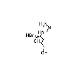 Br.C/N=C(/N/C=N\N)SCCO